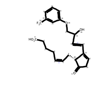 O=C(O)CCC/C=C\C[C@H]1C(=O)CC=C1/C=C/C(O)COc1cccc(C(F)(F)F)c1